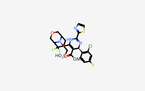 COC(=O)C1=C(CN2C3COCC2C(F)(F)C(CC(=O)O)C3)NC(c2nccs2)=N[C@H]1c1ccc(F)cc1Cl